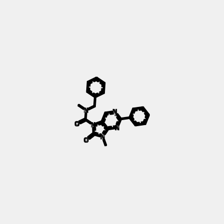 CN(Cc1ccccc1)C(=O)n1c(=O)n(C)c2nc(-c3ccccc3)ncc21